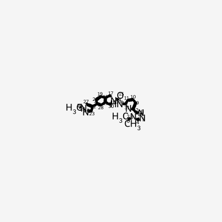 CC(C)n1cnnc1-c1cccc(NC(=O)N2Cc3ccc(-c4cnn(C)c4)cc3C2)n1